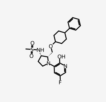 CS(=O)(=O)N[C@H]1CCN(c2cc(F)cnc2O)[C@H]1COC1CCC(c2ccccc2)CC1